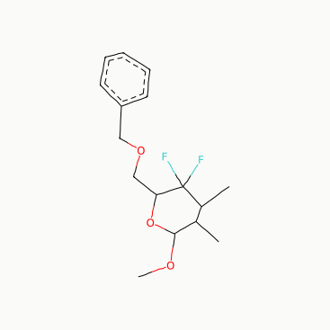 COC1OC(COCc2ccccc2)C(F)(F)C(C)C1C